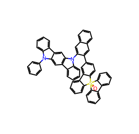 O=S12(c3ccccc3-c3ccccc31)c1ccccc1-c1cc(-c3cc4ccccc4cc3-n3c4ccccc4c4cc5c(cc43)c3ccccc3n5-c3ccccc3)ccc12